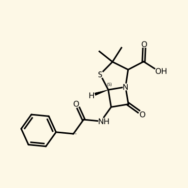 CC1(C)S[C@H]2C(NC(=O)[CH]c3ccccc3)C(=O)N2C1C(=O)O